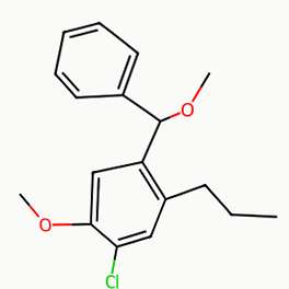 CCCc1cc(Cl)c(OC)cc1C(OC)c1ccccc1